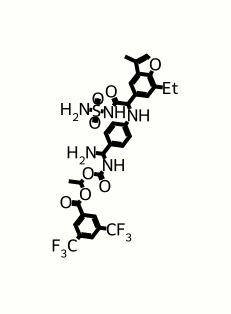 CCc1cc(C(Nc2ccc(C(N)NC(=O)OC(C)OC(=O)c3cc(C(F)(F)F)cc(C(F)(F)F)c3)cc2)C(=O)NS(N)(=O)=O)cc2c(C)coc12